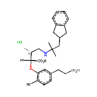 CCOC(=O)CCc1ccc(C#N)c(OC(C(=O)O)(C(C)C)[C@H](C)CNC(C)(C)CC2Cc3ccccc3C2)c1.Cl